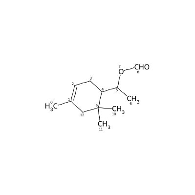 CC1=CCC(C(C)OC=O)C(C)(C)C1